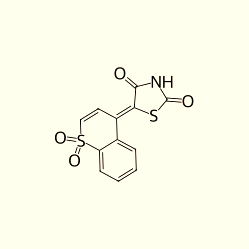 O=C1NC(=O)C(=C2C=CS(=O)(=O)c3ccccc32)S1